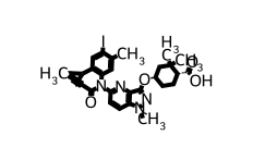 CC#CC(=O)N(c1ccc2c(n1)c(O[C@H]1CC[C@@H](C(=O)O)C(C)(C)C1)nn2C)c1cc(C)c(I)cc1C1CC1